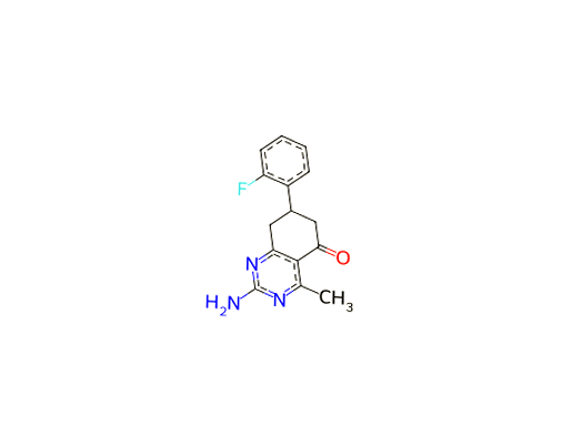 Cc1nc(N)nc2c1C(=O)CC(c1ccccc1F)C2